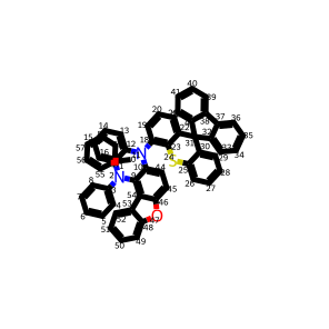 CC1(N(c2ccccc2)c2c(N(c3ccccc3)c3cccc4c3Sc3ccccc3C43c4ccccc4-c4ccccc43)ccc3oc4ccccc4c23)C=CC=CC1